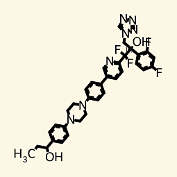 CCC(O)c1ccc(N2CCN(c3ccc(-c4ccc(C(F)(F)[C@](O)(Cn5cnnn5)c5ccc(F)cc5F)nc4)cc3)CC2)cc1